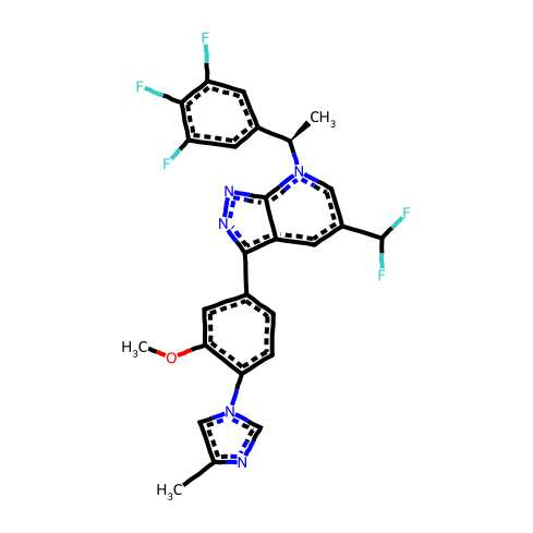 COc1cc(-c2nnc3n([C@H](C)c4cc(F)c(F)c(F)c4)cc(C(F)F)cc2-3)ccc1-n1cnc(C)c1